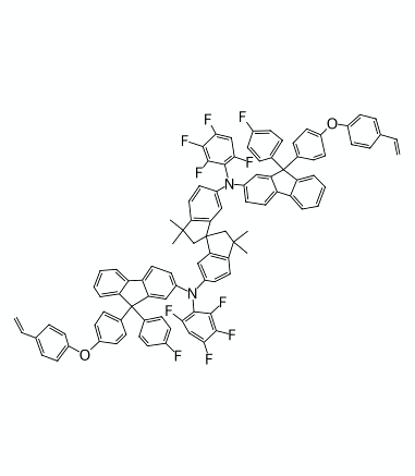 C=Cc1ccc(Oc2ccc(C3(c4ccc(F)cc4)c4ccccc4-c4ccc(N(c5ccc6c(c5)C5(CC6(C)C)CC(C)(C)c6ccc(N(c7ccc8c(c7)C(c7ccc(F)cc7)(c7ccc(Oc9ccc(C=C)cc9)cc7)c7ccccc7-8)c7c(F)cc(F)c(F)c7F)cc65)c5c(F)cc(F)c(F)c5F)cc43)cc2)cc1